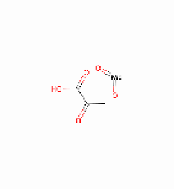 CC(=O)C(=O)O.[O]=[Mo]=[O]